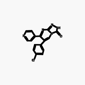 O=c1[nH]nc2nc(-c3ccncc3)c(-c3ccc(Cl)cc3)cn12